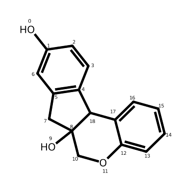 Oc1ccc2c(c1)CC1(O)COc3ccccc3C21